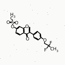 CC(F)(F)COc1ccc(-c2coc3cc(OS(C)(=O)=O)ccc3c2=O)cc1